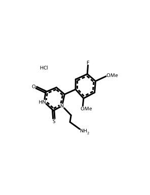 COc1cc(OC)c(-c2cc(=O)[nH]c(=S)n2CCN)cc1F.Cl